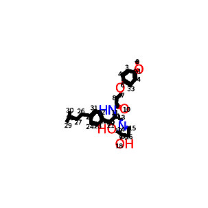 COc1ccc(OCCC(=O)N[C@H](CN2CC[C@H](O)C2)[C@H](O)c2ccc(CCC(C)C)cc2)cc1